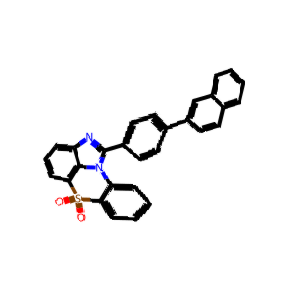 O=S1(=O)c2ccccc2-n2c(-c3ccc(-c4ccc5ccccc5c4)cc3)nc3cccc1c32